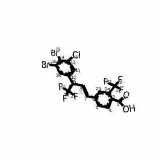 O=C(O)c1ccc(/C=C/C(c2cc(Cl)c(Br)c(Br)c2)C(F)(F)F)cc1C(F)(F)F